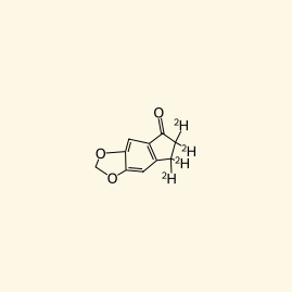 [2H]C1([2H])C(=O)c2cc3c(cc2C1([2H])[2H])OCO3